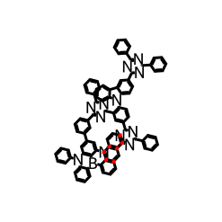 c1ccc(-c2nc(-c3ccccc3)nc(-c3ccc(-n4c5ccccc5c5cc(-c6nc(-c7ccccc7)nc(-c7ccccc7)n6)ccc54)c(-c4nc(-c5ccccc5)nc(-c5cccc(-c6cc7c8c(c6)N(c6ccccc6)c6ccccc6B8c6ccccc6N7c6ccccc6)c5)n4)c3)n2)cc1